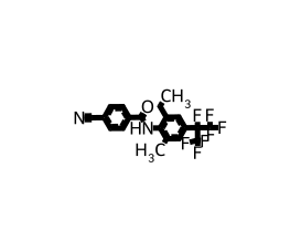 CCc1cc(C(F)(C(F)(F)F)C(F)(F)F)cc(C)c1NC(=O)c1ccc(C#N)cc1